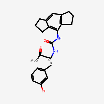 COC(=O)[C@@H](Cc1cccc(O)c1)NC(=O)Nc1c2c(cc3c1CCC3)CCC2